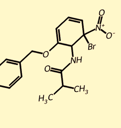 CC(C)C(=O)NC1C(OCc2ccccc2)=CC=CC1(Br)[N+](=O)[O-]